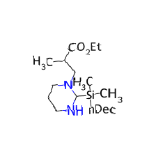 CCCCCCCCCC[Si](C)(C)C1NCCCN1CC(C)C(=O)OCC